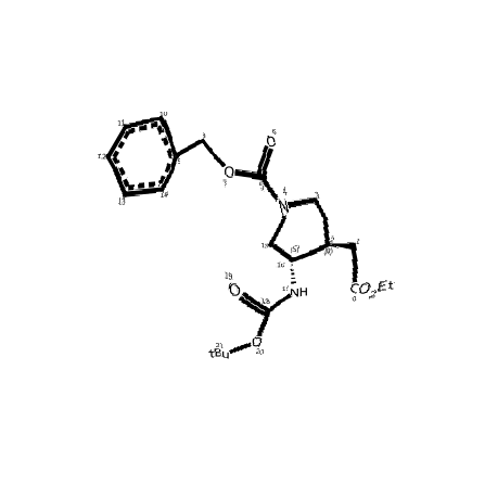 CCOC(=O)C[C@@H]1CN(C(=O)OCc2ccccc2)C[C@H]1NC(=O)OC(C)(C)C